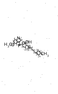 COc1ccc2nccc(C(F)CC[C@@H]3CCN(CCCCc4ccc(C)cc4)C[C@@H]3C(=O)O)c2c1